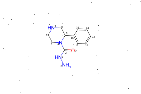 NNC(=O)N1CCNCC1c1ccccc1